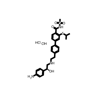 CC(C)Sc1cc(-c2ccc(CCNC[C@@H](O)c3ccc(N)cc3)cc2)ccc1C(=O)NS(C)(=O)=O.Cl.Cl